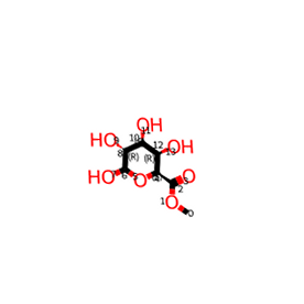 COC(=O)[C@H]1OC(O)[C@H](O)[C@@H](O)[C@H]1O